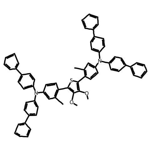 COc1c(-c2ccc(N(c3ccc(-c4ccccc4)cc3)c3ccc(-c4ccccc4)cc3)cc2C)sc(-c2ccc(N(c3ccc(-c4ccccc4)cc3)c3ccc(-c4ccccc4)cc3)cc2C)c1OC